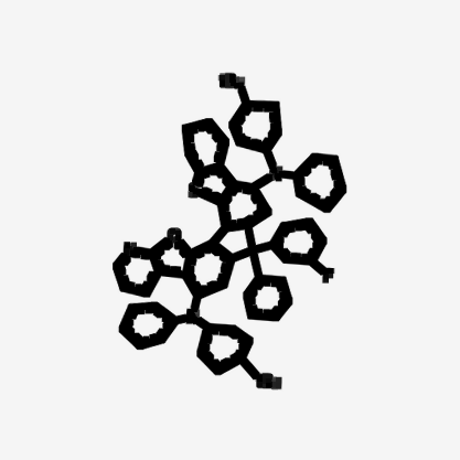 CC(C)(C)c1ccc(N(c2ccccc2)c2cc3c(c4oc5ncccc5c24)-c2c(cc(N(c4ccccc4)c4ccc(C(C)(C)C)cc4)c4c2sc2ccccc24)C3(c2ccccc2)c2cccc(F)c2)cc1